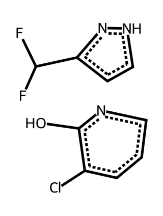 FC(F)c1cc[nH]n1.Oc1ncccc1Cl